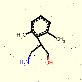 Cc1cccc(C)c1C(CN)CO